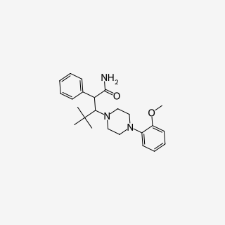 COc1ccccc1N1CCN(C(C(C(N)=O)c2ccccc2)C(C)(C)C)CC1